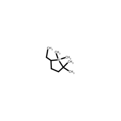 CCC1CCC(C)(C)[N+]1(C)C